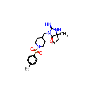 CCc1ccc(S(=O)(=O)N2CCC(CN3C(=N)NC(C)(CC(C)C)C3=O)CC2)cc1